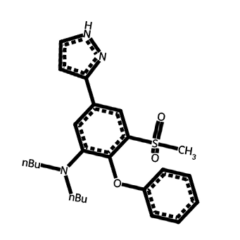 CCCCN(CCCC)c1cc(-c2cc[nH]n2)cc(S(C)(=O)=O)c1Oc1ccccc1